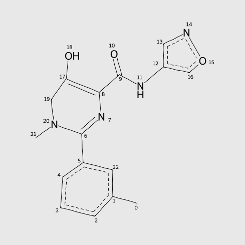 Cc1cccc(C2=NC(C(=O)Nc3cnoc3)=C(O)CN2C)c1